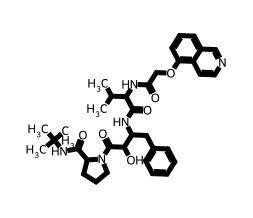 CC(C)C(NC(=O)COc1cccc2cnccc12)C(=O)NC(Cc1ccccc1)C(O)C(=O)N1CCCC1C(=O)NC(C)(C)C